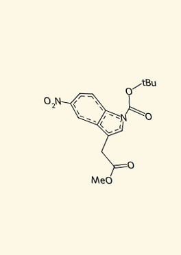 COC(=O)Cc1cn(C(=O)OC(C)(C)C)c2ccc([N+](=O)[O-])cc12